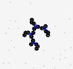 c1ccc2c(c1)ccc1cc(-n3c4ccccc4c4cc(-c5ccc6c(c5)c5cc(-c7ccc8c9cc(-c%10ccc%11c(c%10)c%10ccccc%10n%11-c%10ccc%11ccc%12ccccc%12c%11c%10)ccc9n(-c9ccc%10ccc%11ccccc%11c%10c9)c8c7)ccc5n6-c5ccc6c(ccc7ccccc76)c5)ccc43)ccc12